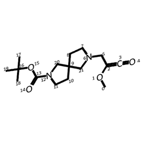 COC(=C=O)CN1CCC2(CCN(C(=O)OC(C)(C)C)C2)C1